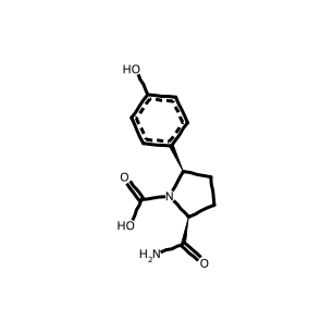 NC(=O)[C@@H]1CC[C@H](c2ccc(O)cc2)N1C(=O)O